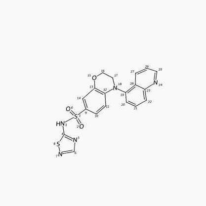 O=S(=O)(Nc1ncns1)c1ccc2c(c1)OCCN2c1cccc2ncccc12